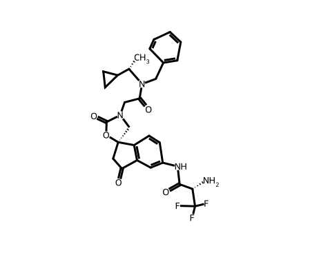 C[C@@H](C1CC1)N(Cc1ccccc1)C(=O)CN1C[C@]2(CC(=O)c3cc(NC(=O)[C@H](N)C(F)(F)F)ccc32)OC1=O